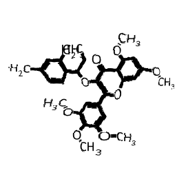 [CH2]CC(Oc1c(-c2cc(OC)c(OC)c(OC)c2)oc2cc(OC)cc(OC)c2c1=O)c1ccc([CH2])cc1C